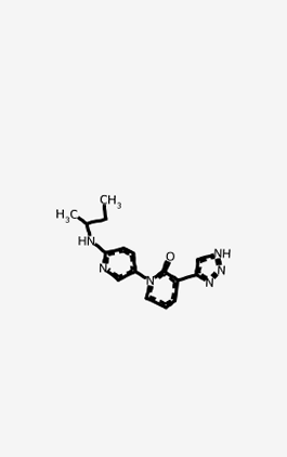 CCC(C)Nc1ccc(-n2cccc(-c3c[nH]nn3)c2=O)cn1